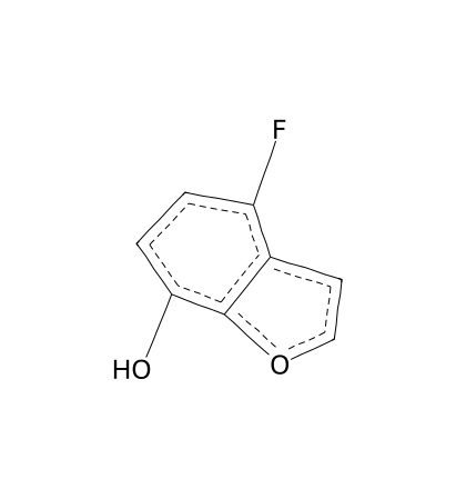 Oc1ccc(F)c2ccoc12